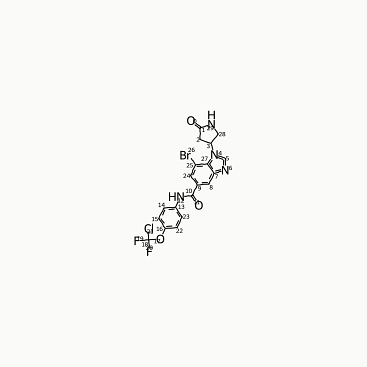 O=C1CC(n2cnc3cc(C(=O)Nc4ccc(OC(F)(F)Cl)cc4)cc(Br)c32)CN1